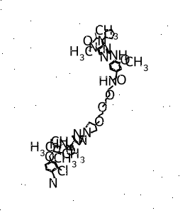 CC[C@@H]1C(=O)N(C)c2cnc(Nc3ccc(C(=O)NCCOCCOCCOC4CCN(c5ncc(C(=O)N[C@H]6C(C)(C)[C@H](Oc7ccc(C#N)c(Cl)c7)C6(C)C)cn5)CC4)cc3OC)nc2N1C1CCCC1